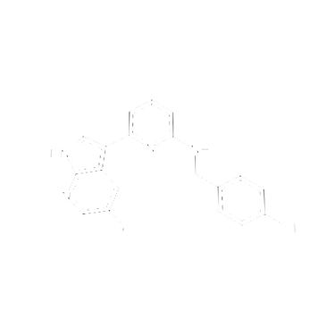 Clc1ccc(CNc2cccc(-c3c[nH]c4ncc(Cl)cc34)n2)cc1